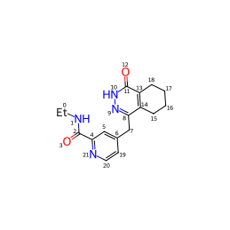 CCNC(=O)c1cc(Cc2n[nH]c(=O)c3c2CCCC3)ccn1